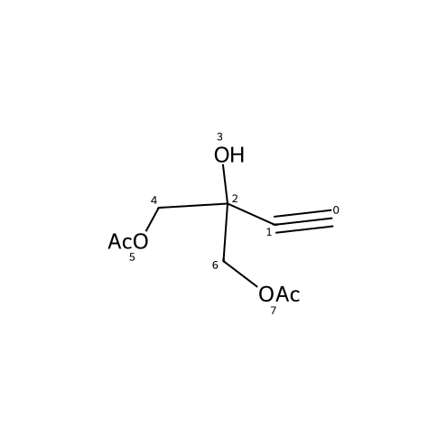 C#CC(O)(COC(C)=O)COC(C)=O